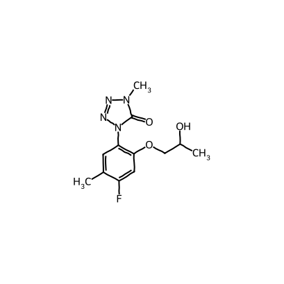 Cc1cc(-n2nnn(C)c2=O)c(OCC(C)O)cc1F